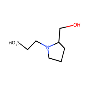 O=S(=O)(O)CCN1CCCC1CO